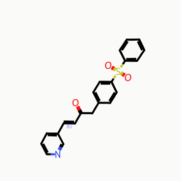 O=C(/C=C/c1cccnc1)Cc1ccc(S(=O)(=O)c2ccccc2)cc1